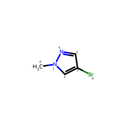 [CH2]n1cc(Br)cn1